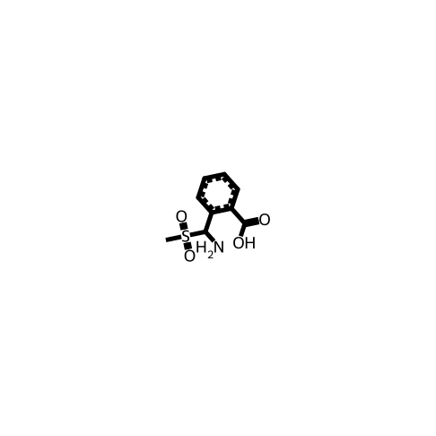 CS(=O)(=O)C(N)c1ccccc1C(=O)O